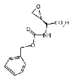 O=C(NC(C(=O)O)[C@H]1CO1)OCc1ccccc1